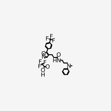 CN(CCCNC(=O)CCc1cnoc1-c1ccc(C(F)(F)F)cc1)c1ccccc1.O=C(O)C(F)(F)F